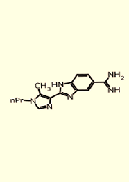 CCCn1cnc(-c2nc3cc(C(=N)N)ccc3[nH]2)c1C